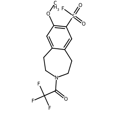 COc1cc2c(cc1S(=O)(=O)F)CCN(C(=O)C(F)(F)F)CC2